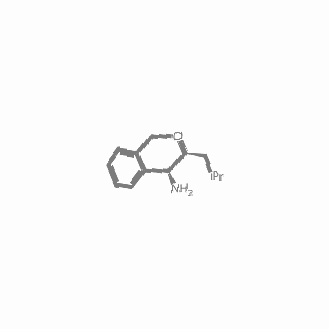 CC(C)C[C@@H]1OCc2ccccc2[C@@H]1N